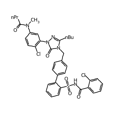 CCCCc1nn(-c2cc(N(C)C(=O)CCC)ccc2Cl)c(=O)n1Cc1ccc(-c2ccccc2S(=O)(=O)NC(=O)c2ccccc2Cl)cc1